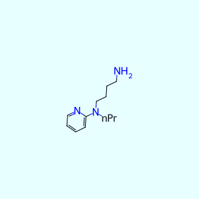 CCCN(CCCCN)c1ccccn1